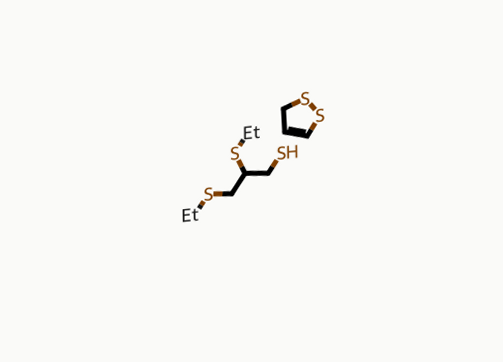 C1=CSSC1.CCSCC(CS)SCC